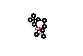 c1ccc(C2(c3ccccc3)c3ccc4cc3-c3c(cccc32)-c2nc(nc(-c3ccccc3-n3c5ccccc5c5ccccc53)n2)-c2cccc(c2)-c2ccccc2-4)cc1